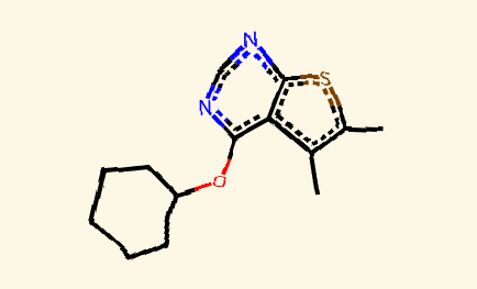 Cc1sc2ncnc(OC3CCCCC3)c2c1C